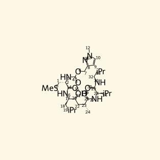 CSC[C@H](NC(=O)OCc1ccn(C)n1)C(=O)N[C@H](CC(C)C)[C@@H](O)C[C@@H](C)C(=O)N[C@@H](C(=O)NCC(C)C)C(C)C